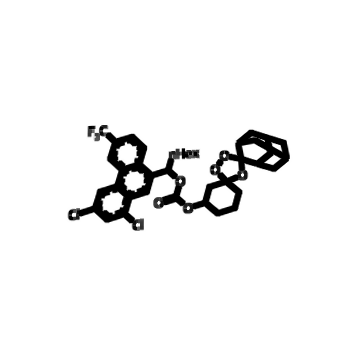 CCCCCCC(OC(=O)OC1CCCC2(C1)OOC1(O2)C2CC3CC(C2)CC1C3)c1cc2c(Cl)cc(Cl)cc2c2cc(C(F)(F)F)ccc12